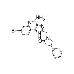 Nc1nc2cc(Br)ccc2c2[nH]c(CN3CC(c4ccccc4)CC3=O)nc12